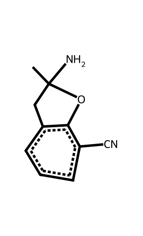 CC1(N)Cc2cccc(C#N)c2O1